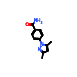 Cc1cc(C)n(-c2c[c]c(C(N)=O)cc2)n1